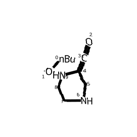 CCCC[O].O=C=C1CNCCN1